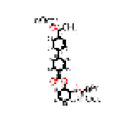 CCCCCCCCOC(C)c1ccc(-c2ccc(C(=O)Oc3ccccc3OC(CCC)CCCCCCCC)cc2)cc1